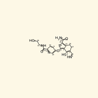 N=CC1=C(S)c2c(Oc3ccc(C(=O)NCCO)nc3)sc(C(N)=O)c2CC1